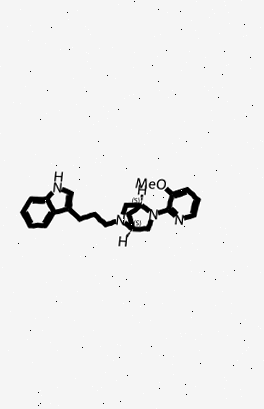 COc1cccnc1N1C[C@@H]2C[C@H]1CN2CCCc1c[nH]c2ccccc12